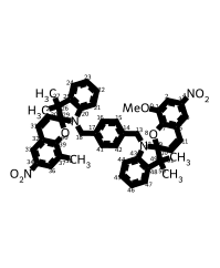 COc1cc([N+](=O)[O-])cc2c1OC1(C=C2)N(Cc2ccc(CN3c4ccccc4C(C)(C)C34C=Cc3cc([N+](=O)[O-])cc(C)c3O4)cc2)c2ccccc2C1(C)C